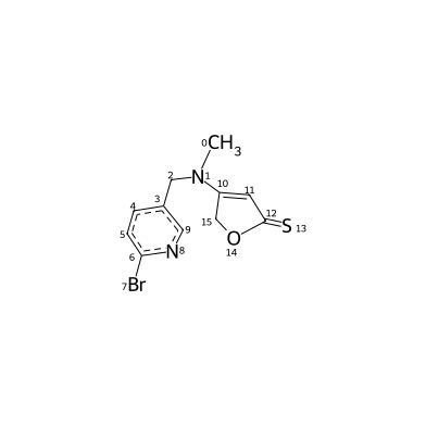 CN(Cc1ccc(Br)nc1)C1=CC(=S)OC1